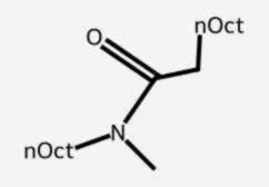 CCCCCCCCCC(=O)N(C)CCCCCCCC